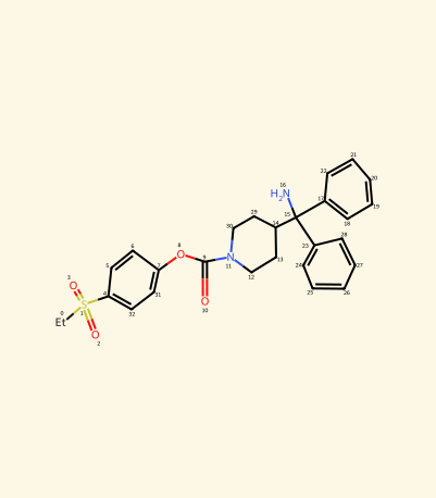 CCS(=O)(=O)c1ccc(OC(=O)N2CCC(C(N)(c3ccccc3)c3ccccc3)CC2)cc1